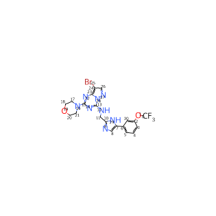 FC(F)(F)Oc1cccc(-c2cnc(CNc3nc(N4CCOCC4)nc4c(Br)cnn34)[nH]2)c1